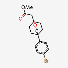 COC(=O)CC12CCC(c3ccc(Br)cc3)(CC1)CO2